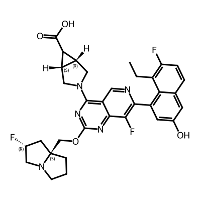 CCc1c(F)ccc2cc(O)cc(-c3ncc4c(N5C[C@@H]6C(C(=O)O)[C@@H]6C5)nc(OC[C@@]56CCCN5C[C@H](F)C6)nc4c3F)c12